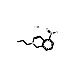 Br.CCCN1C=Cc2c(cccc2[N+](=O)[O-])C1